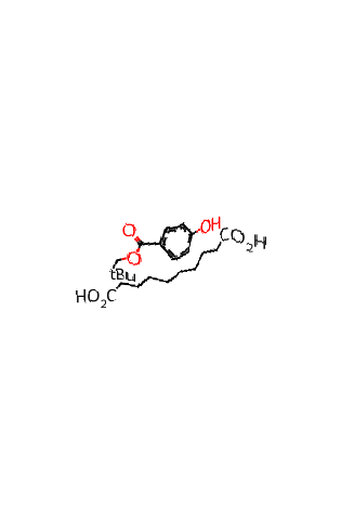 CC(C)(C)COC(=O)c1ccc(O)cc1.O=C(O)CCCCCCCCC(=O)O